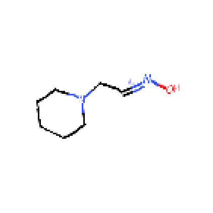 O/N=C/CN1CCCCC1